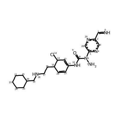 N=Cc1cnc(N(N)C(=O)NC2=CC(Cl)C(CCNCC3CCCCC3)C=C2)cn1